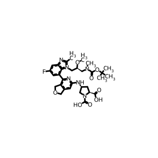 CO[C@@H](CN(C)C(=O)OC(C)(C)C)Cn1c(C)nc2cc(F)cc(-c3nc(N[C@H]4C[C@@H](C(=O)O)N(C(=O)O)C4)cc4c3COC4)c21